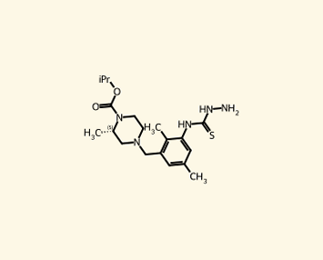 Cc1cc(CN2CCN(C(=O)OC(C)C)[C@@H](C)C2)c(C)c(NC(=S)NN)c1